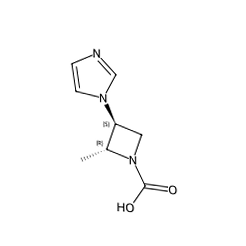 C[C@@H]1[C@@H](n2ccnc2)CN1C(=O)O